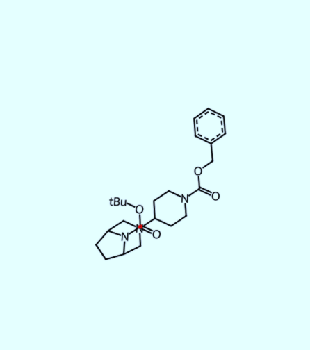 CC(C)(C)OC(=O)N1C2CCC1CN(C1CCN(C(=O)OCc3ccccc3)CC1)C2